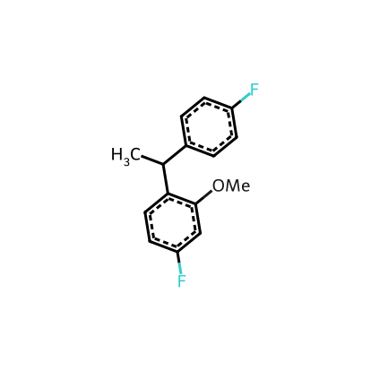 COc1cc(F)ccc1C(C)c1ccc(F)cc1